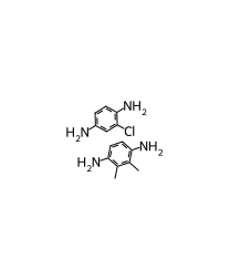 Cc1c(N)ccc(N)c1C.Nc1ccc(N)c(Cl)c1